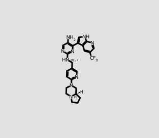 C[C@@H](Nc1ncc(N)c(-c2c[nH]c3ncc(C(F)(F)F)cc23)n1)c1ccc(N2CCN3CCC[C@@H]3C2)nc1